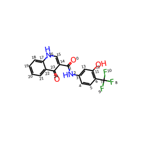 O=C(Nc1ccc(C(F)(F)F)c(O)c1)c1c[nH]c2ccccc2c1=O